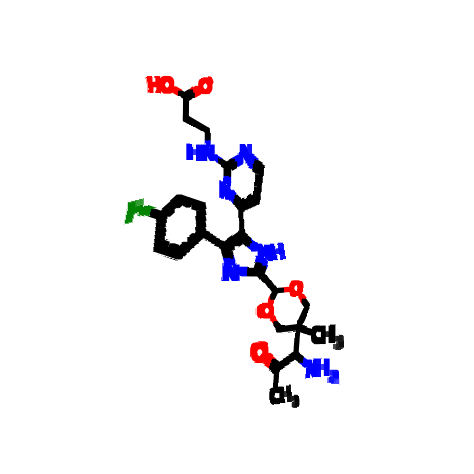 CC(=O)C(N)C1(C)COC(c2nc(-c3ccc(F)cc3)c(-c3ccnc(NCCC(=O)O)n3)[nH]2)OC1